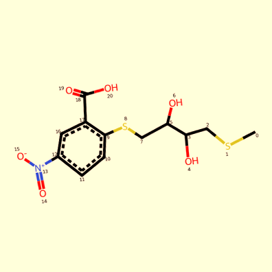 CSCC(O)C(O)CSc1ccc([N+](=O)[O-])cc1C(=O)O